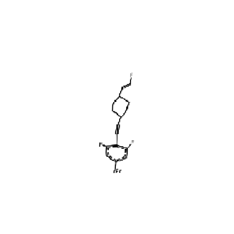 CCCc1cc(F)c(C#CC2CCC(C=CF)CC2)c(F)c1